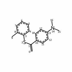 C=C(Sc1ccccc1C)c1ccc(N(C)C)cc1